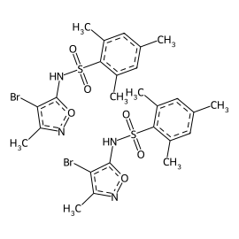 Cc1cc(C)c(S(=O)(=O)Nc2onc(C)c2Br)c(C)c1.Cc1cc(C)c(S(=O)(=O)Nc2onc(C)c2Br)c(C)c1